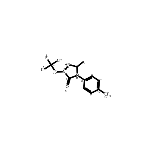 CC1NN(SC(F)(Cl)Cl)C(=O)N1c1ccc(C(F)(F)F)cc1